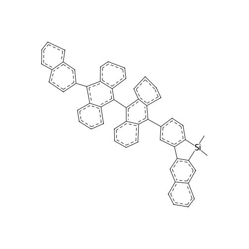 C[Si]1(C)c2ccc(-c3c4ccccc4c(-c4c5ccccc5c(-c5ccc6ccccc6c5)c5ccccc45)c4ccccc34)cc2-c2cc3ccccc3cc21